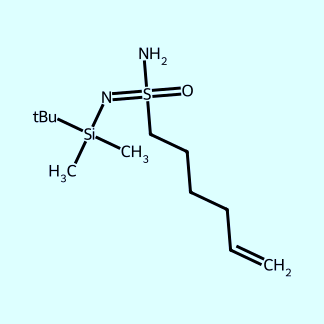 C=CCCCCS(N)(=O)=N[Si](C)(C)C(C)(C)C